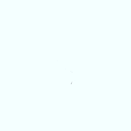 O=C[C@@H]1CCCN1C(=O)OC(=O)c1ccccc1